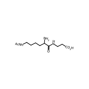 CC(=O)NCCCCC(N)C(=O)NCCC(=O)O